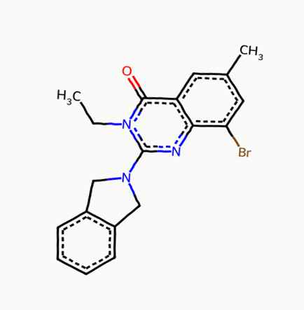 CCn1c(N2Cc3ccccc3C2)nc2c(Br)cc(C)cc2c1=O